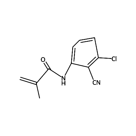 C=C(C)C(=O)Nc1cccc(Cl)c1C#N